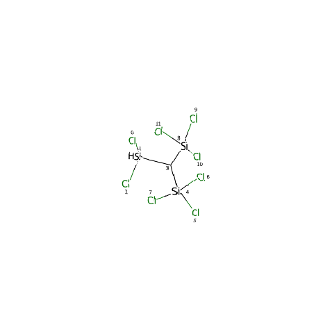 Cl[SiH](Cl)C([Si](Cl)(Cl)Cl)[Si](Cl)(Cl)Cl